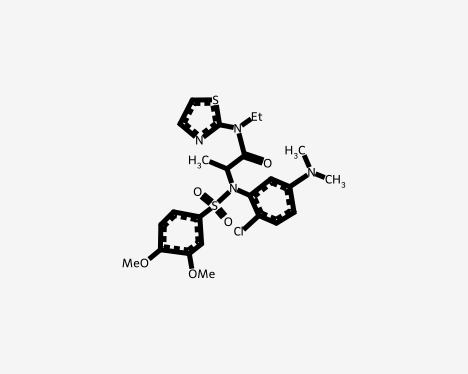 CCN(C(=O)C(C)N(c1cc(N(C)C)ccc1Cl)S(=O)(=O)c1ccc(OC)c(OC)c1)c1nccs1